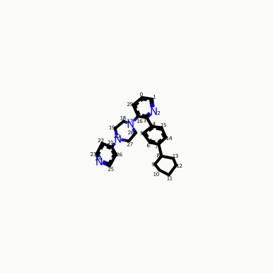 c1cnc(-c2ccc(C3CCCCC3)cc2)c(N2CCN(c3ccncc3)CC2)c1